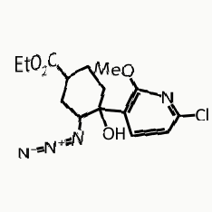 CCOC(=O)C1CCC(O)(c2ccc(Cl)nc2OC)C(N=[N+]=[N-])C1